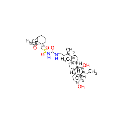 CC[C@H]1[C@@H](O)[C@@H]2[C@H](CC[C@]3(C)[C@@H]([C@H](C)CCNC(=O)NS(=O)(=O)C[C@]45CCCC(CC4=O)C5(C)C)CC[C@@H]23)[C@@]2(C)CC[C@@H](O)C[C@@H]12